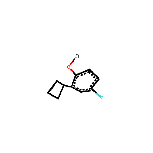 CCOc1ccc(F)cc1C1CCC1